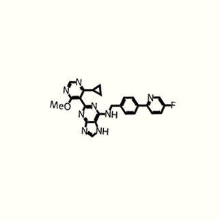 COc1ncnc(C2CC2)c1-c1nc(NCc2ccc(-c3ccc(F)cn3)cc2)c2[nH]cnc2n1